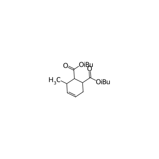 CC(C)COC(=O)C1CC=CC(C)C1C(=O)OCC(C)C